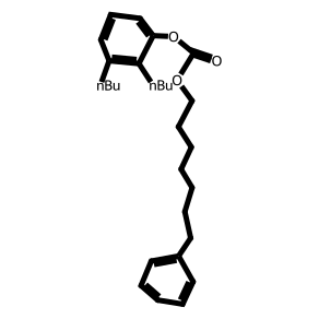 CCCCc1cccc(OC(=O)OCCCCCCCc2ccccc2)c1CCCC